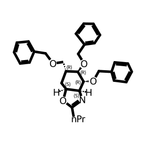 CCCC1=N[C@@H]2[C@@H](OCc3ccccc3)[C@H](OCc3ccccc3)[C@@H](COCc3ccccc3)C[C@@H]2O1